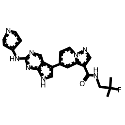 CC(C)(F)CNC(=O)c1cnn2ccc(-c3c[nH]c4nc(Nc5ccncc5)ncc34)cc12